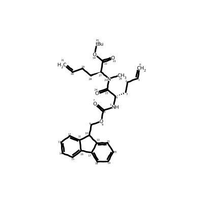 C=CCC[C@H](NC(=O)OCC1c2ccccc2-c2ccccc21)C(=O)N(C)[C@@H](CCC=C)C(=O)OC(C)(C)C